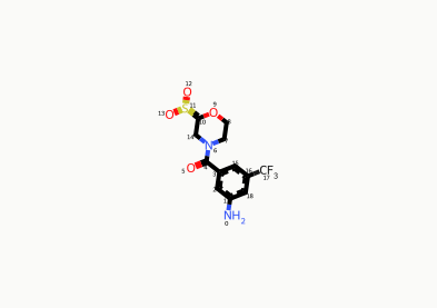 Nc1cc(C(=O)N2CCOC(=S(=O)=O)C2)cc(C(F)(F)F)c1